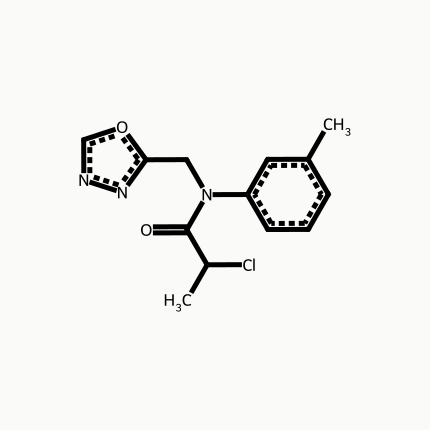 Cc1cccc(N(Cc2nnco2)C(=O)C(C)Cl)c1